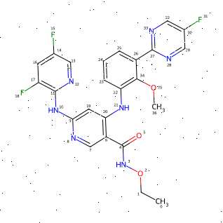 CCONC(=O)c1cnc(Nc2ncc(F)cc2F)cc1Nc1cccc(-c2ncc(F)cn2)c1OC